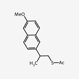 COc1ccc2cc(C(C)CSC(C)=O)ccc2c1